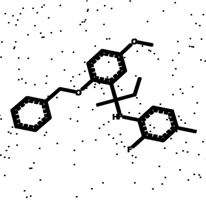 CCC(C)(Pc1ccc(C)cc1F)c1cc(OC)ccc1OCc1ccccc1